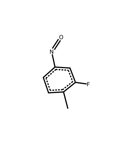 Cc1ccc(N=O)cc1F